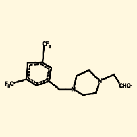 O=[C]CN1CCN(Cc2cc(C(F)(F)F)cc(C(F)(F)F)c2)CC1